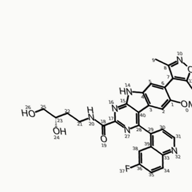 COc1cc2c(cc1-c1c(C)noc1C)[nH]c1nc(C(=O)NCC[C@H](O)CO)nc(-c3ccnc4ccc(F)cc34)c12